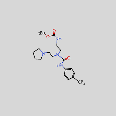 CC(C)(C)OC(=O)NCCN(CCN1CCCC1)C(=O)Nc1ccc(C(F)(F)F)cc1